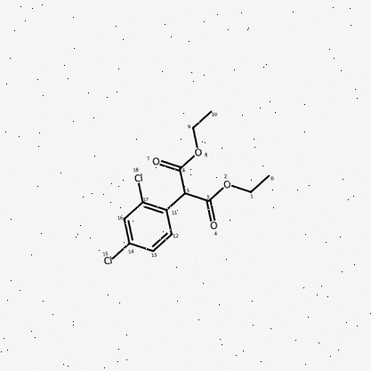 CCOC(=O)C(C(=O)OCC)c1ccc(Cl)cc1Cl